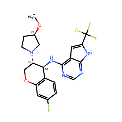 CO[C@@H]1CCN([C@H]2COc3cc(F)ccc3[C@@H]2Nc2ncnc3[nH]c(C(F)(F)F)cc23)C1